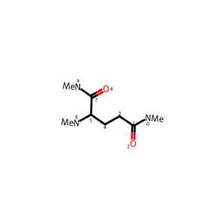 CNC(=O)CCC(NC)C(=O)NC